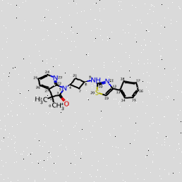 CC1(C)C(=O)N([C@H]2C[C@H](Nc3nc(-c4ccccc4)cs3)C2)c2ncccc21